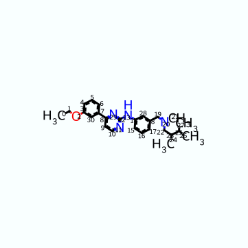 CCOc1cccc(-c2ccnc(Nc3cccc(CN(C)CC(C)C(C)C)c3)n2)c1